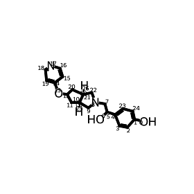 Oc1ccc(C(O)CN2C[C@H]3CC(Oc4ccncc4)C[C@H]3C2)cc1